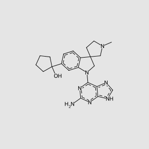 CN1CCC2(C1)CN(c1nc(N)nc3[nH]cnc13)c1cc(C3(O)CCCC3)ccc12